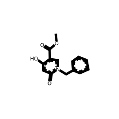 COC(=O)c1cn(Cc2ccccc2)c(=O)cc1O